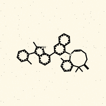 C=C1CC/C=C\N(c2cc(-c3cccc4c(-c5ccccc5C)c(C)[nH]c34)cc3ccccc23)c2c(C)cccc2C1(C)C